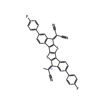 C/C(C#N)=C1/c2cc(-c3ccc(F)cc3)ccc2-c2c1sc1c3c(sc21)C(=C(C#N)C#N)c1cc(-c2ccc(F)cc2)ccc1-3